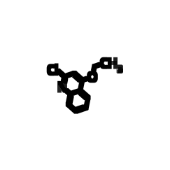 CCOc1cc(Cl)nc2ccccc12